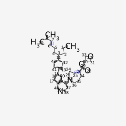 CCCC(CC/C=C/C(C)C)c1ccc(-c2ccc3c(c2)C(N2CC/C=C(\C(=O)OC4COC4)CCC2)=CC=NC3)cc1